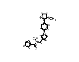 CN1CCN=C1c1ccc(-n2cnc(CN(Cl)C(=O)c3cccs3)c2)cc1